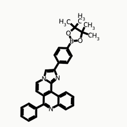 CC1(C)OB(c2ccc(-c3cn4ccc5c(-c6ccccc6)nc6ccccc6c5c4n3)cc2)OC1(C)C